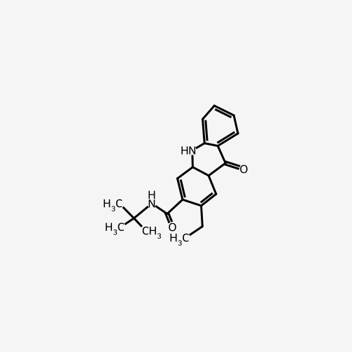 CCC1=CC2C(=O)c3ccccc3NC2C=C1C(=O)NC(C)(C)C